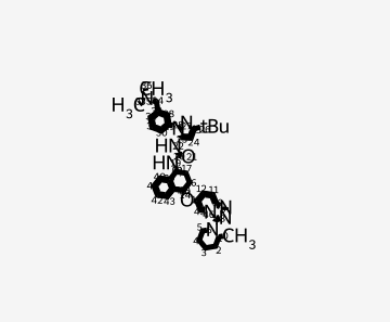 CC1CCCCN1c1nnc2ccc(O[C@@H]3CC[C@H](NC(=O)Nc4cc(C(C)(C)C)nn4-c4cccc(CN(C)C)c4)c4ccccc43)cn12